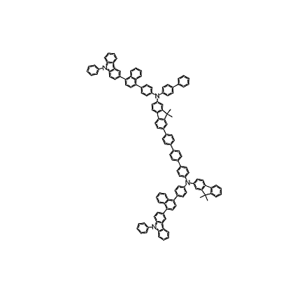 CC1(C)c2ccccc2-c2ccc(N(c3ccc(-c4ccc(-c5ccc(-c6ccc7c(c6)C(C)(C)c6cc(N(c8ccc(-c9ccccc9)cc8)c8ccc(-c9ccc(-c%10ccc%11c(c%10)c%10ccccc%10n%11-c%10ccccc%10)c%10ccccc9%10)cc8)ccc6-7)cc5)cc4)cc3)c3ccc(-c4ccc(-c5ccc6c(c5)c5ccccc5n6-c5ccccc5)c5ccccc45)cc3)cc21